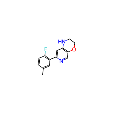 Cc1ccc(F)c(-c2cc3c(cn2)OCCN3)c1